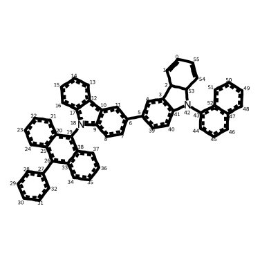 C1=CC2c3cc(-c4ccc5c(c4)c4ccccc4n5-c4c5ccccc5c(-c5ccccc5)c5ccccc45)ccc3N(c3cccc4ccccc34)C2C=C1